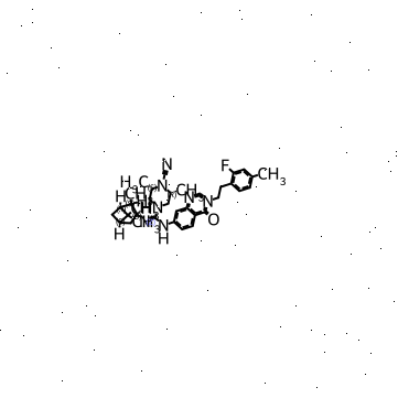 Cc1ccc(CCn2cnc3cc(N/C(=N/[C@H]4C[C@@H]5C[C@H]([C@@H]4C)C5(C)C)N4C[C@@H](C)N(C#N)[C@@H](C)C4)ccc3c2=O)c(F)c1